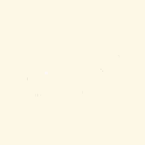 CCC/C=C1/C=C(C2=CC=CC(C(C)C)=NS2)C(CC)=CC1C